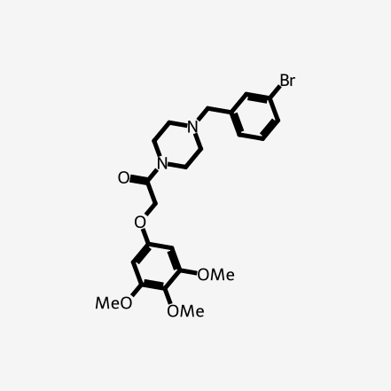 COc1cc(OCC(=O)N2CCN(Cc3cccc(Br)c3)CC2)cc(OC)c1OC